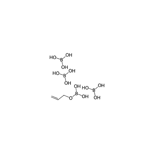 C=CCOB(O)O.OB(O)O.OB(O)O.OB(O)O